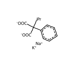 CC(C)C(C(=O)[O-])(C(=O)[O-])c1ccccc1.[K+].[Na+]